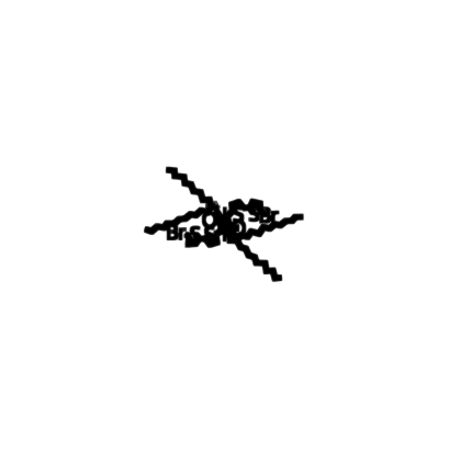 CCCCCCCCCCCCC(CCCCCCCCCC)CN1C(=O)C2=C(c3ccc(-c4ccc(Br)s4)s3)N(C[C@H](CCCCCCCCCC)CCCCCCCCCCCC)C(=O)C2=C1c1ccc(-c2ccc(Br)s2)s1